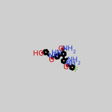 NCc1c(NC(=O)c2ccc(F)cc2)cccc1-c1ccc(C(N)=O)c2[nH]c3cc(C(=O)NCc4cccc(O)c4)ccc3c12